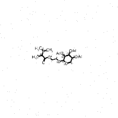 CC(=O)OC1COC(OCCOC(=O)C(C)N(C)C)C(OC(C)=O)C1OC(C)=O